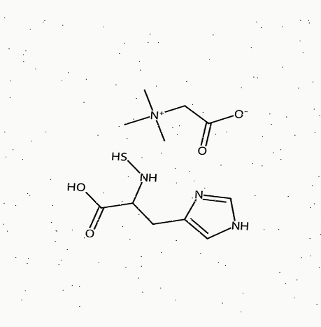 C[N+](C)(C)CC(=O)[O-].O=C(O)C(Cc1c[nH]cn1)NS